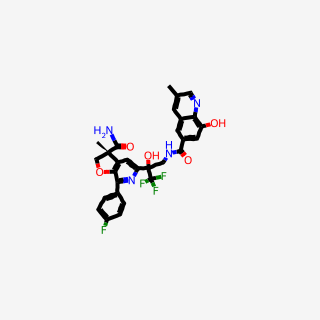 Cc1cnc2c(O)cc(C(=O)NCC(O)(c3cc4c(c(-c5ccc(F)cc5)n3)OC[C@]4(C)C(N)=O)C(F)(F)F)cc2c1